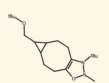 CN1OC2=C(CCC3C(CC2)C3COC(C)(C)C)N1C(C)(C)C